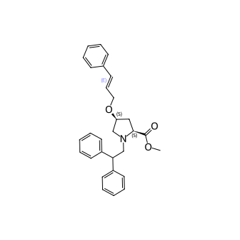 COC(=O)[C@@H]1C[C@H](OC/C=C/c2ccccc2)CN1CC(c1ccccc1)c1ccccc1